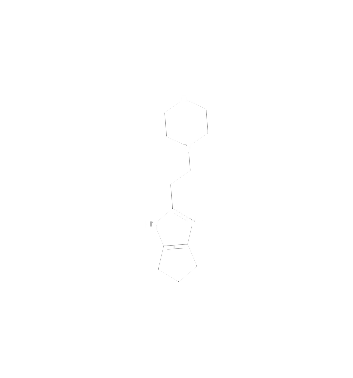 C1CC2=C(C1)NC(CCN1CCOCC1)=[N+]2